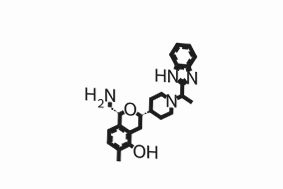 Cc1ccc2c(c1O)C[C@@H](C1CCN(C(C)c3nc4ccccc4[nH]3)CC1)O[C@H]2CN